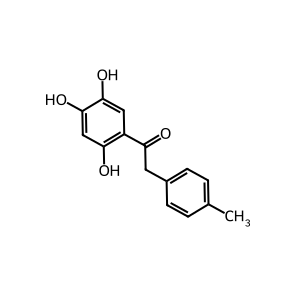 Cc1ccc(CC(=O)c2cc(O)c(O)cc2O)cc1